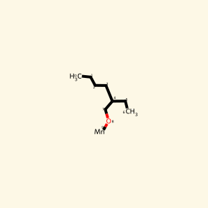 CCCCC(CC)C[O][Mn]